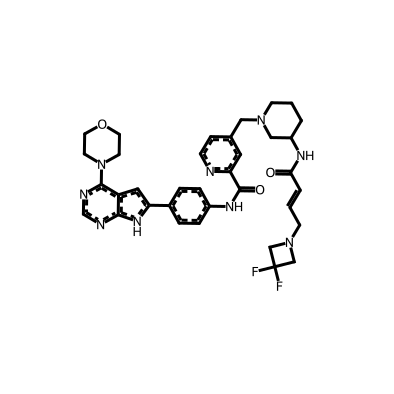 O=C(C=CCN1CC(F)(F)C1)NC1CCCN(Cc2ccnc(C(=O)Nc3ccc(-c4cc5c(N6CCOCC6)ncnc5[nH]4)cc3)c2)C1